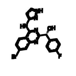 O[C@H](c1ccc(F)cc1)c1nc(Nc2cc[nH]n2)c2ccc(Br)cc2n1